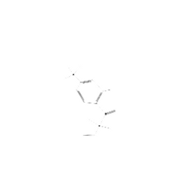 CCC(C)(C)C(=O)c1ccc(C(F)(F)F)cc1F